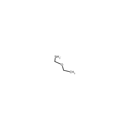 CCOC[SiH2]